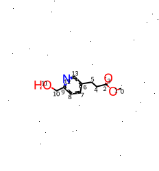 COC(=O)CCc1ccc(CO)nc1